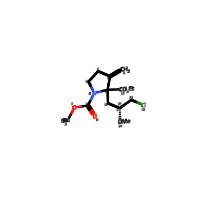 C=C1CCN(C(=O)OC(C)(C)C)C1(C[C@H](CCl)OC)C(=O)OCC